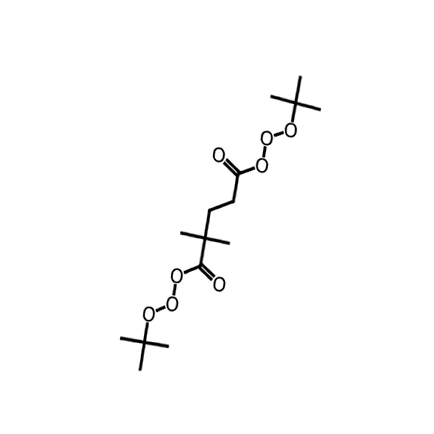 CC(C)(C)OOOC(=O)CCC(C)(C)C(=O)OOOC(C)(C)C